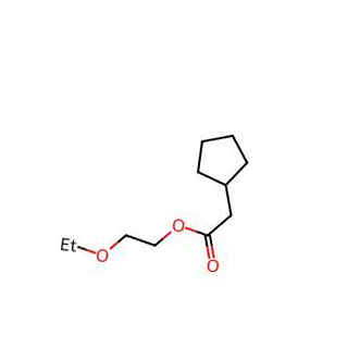 CCOCCOC(=O)CC1CCCC1